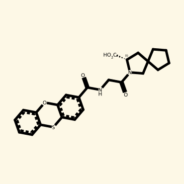 O=C(NCC(=O)N1CC2(CCCC2)C[C@H]1C(=O)O)c1ccc2c(c1)Oc1ccccc1S2